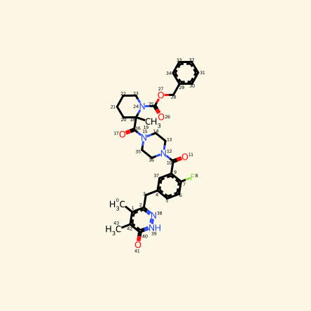 Cc1c(Cc2ccc(F)c(C(=O)N3CCN(C(=O)C4(C)CCCCN4C(=O)OCc4ccccc4)CC3)c2)n[nH]c(=O)c1C